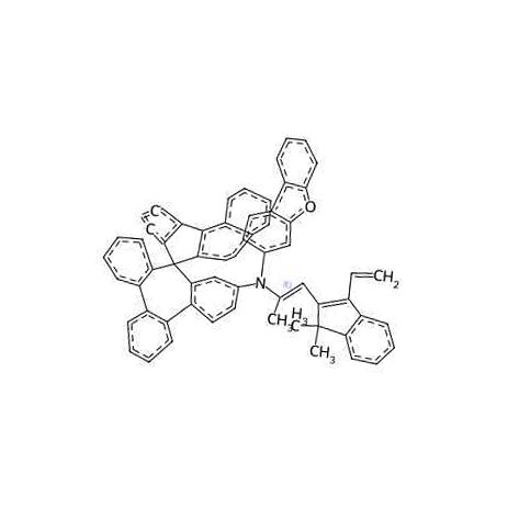 C=CC1=C(/C=C(\C)N(c2ccc3c(c2)C2(c4ccccc4-c4ccccc4-3)c3ccccc3-c3c2ccc2ccccc32)c2ccc3c(c2)oc2ccccc23)C(C)(C)c2ccccc21